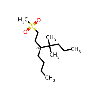 CCCC[C@@H](CCS(C)(=O)=O)C(C)(C)CCC